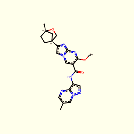 Cc1cnc2c(NC(=O)c3cn4cc([C@@]56CC[C@@](C)(C5)OC6)nc4nc3OC(C)C)cnn2c1